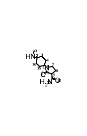 CN[C@H]1CC[C@H](N2CCC(C(N)=O)C2=O)CC1